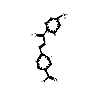 O=C(O)c1ccc(/C=C/C(=O)c2ccc(O)cc2)cc1